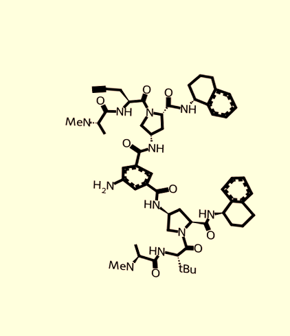 C#CC[C@H](NC(=O)[C@H](C)NC)C(=O)N1C[C@@H](NC(=O)c2cc(N)cc(C(=O)N[C@H]3C[C@@H](C(=O)N[C@@H]4CCCc5ccccc54)N(C(=O)[C@@H](NC(=O)[C@H](C)NC)C(C)(C)C)C3)c2)C[C@H]1C(=O)N[C@@H]1CCCc2ccccc21